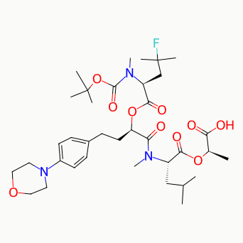 CC(C)C[C@@H](C(=O)O[C@H](C)C(=O)O)N(C)C(=O)[C@@H](CCc1ccc(N2CCOCC2)cc1)OC(=O)[C@H](CC(C)(C)F)N(C)C(=O)OC(C)(C)C